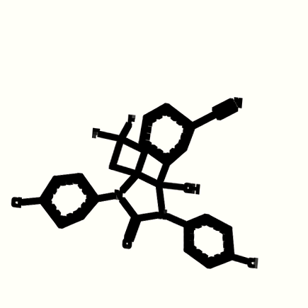 N#Cc1cccc(C2(O)N(c3ccc(Cl)cc3)C(=O)N(c3ccc(Cl)cc3)C23CC(F)(F)C3)c1